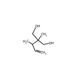 C=CC(C)C(C)(CO)CO